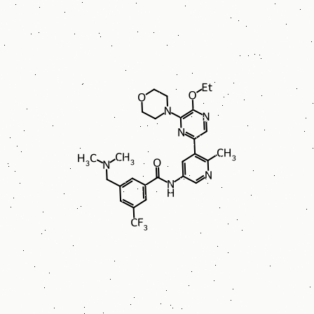 CCOc1ncc(-c2cc(NC(=O)c3cc(CN(C)C)cc(C(F)(F)F)c3)cnc2C)nc1N1CCOCC1